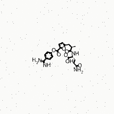 C[C@H](Cc1ccc(C(=O)Oc2ccc(C(=N)N)cc2)o1)C(=O)N[C@H](CCC(N)=O)C(=O)O